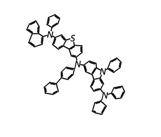 c1ccc(-c2ccc(N(c3ccc4sc5cc(N(c6ccccc6)c6cccc7ccccc67)ccc5c4c3)c3ccc4c(c3)c3ccc(N(c5ccccc5)c5ccccc5)cc3n4-c3ccccc3)cc2)cc1